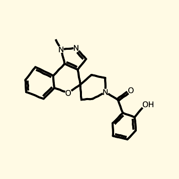 Cn1ncc2c1-c1ccccc1OC21CCN(C(=O)c2ccccc2O)CC1